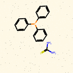 NC(N)=S.c1ccc(P(c2ccccc2)c2ccccc2)cc1